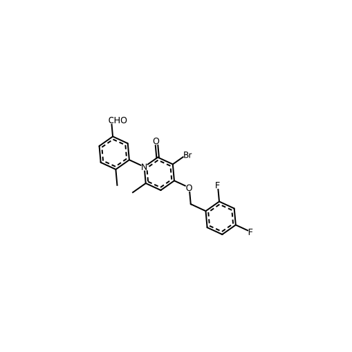 Cc1ccc(C=O)cc1-n1c(C)cc(OCc2ccc(F)cc2F)c(Br)c1=O